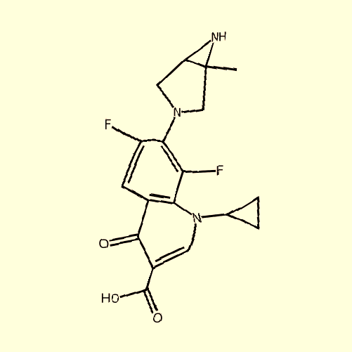 CC12CN(c3c(F)cc4c(=O)c(C(=O)O)cn(C5CC5)c4c3F)CC1N2